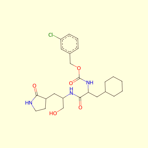 O=C(NC(CC1CCCCC1)C(=O)NC(CO)CC1CCNC1=O)OCc1cccc(Cl)c1